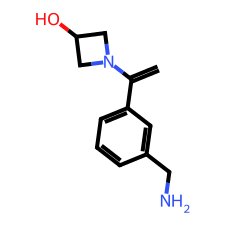 C=C(c1cccc(CN)c1)N1CC(O)C1